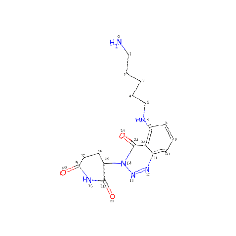 NCCCCCNc1cccc2nnn(C3CCC(=O)NC3=O)c(=O)c12